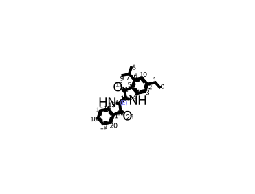 CCc1cc2c(c(C(C)C)c1)C(=O)/C(=C1\Nc3ccccc3C1=O)N2